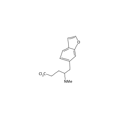 CNC(CCC(Cl)(Cl)Cl)Cc1ccc2ccoc2c1